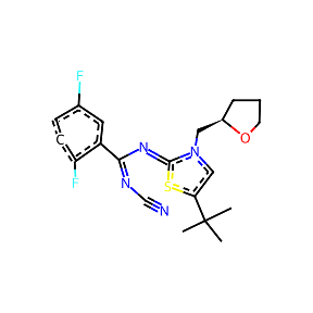 CC(C)(C)c1cn(C[C@H]2CCCO2)/c(=N/C(=NC#N)c2cc(F)ccc2F)s1